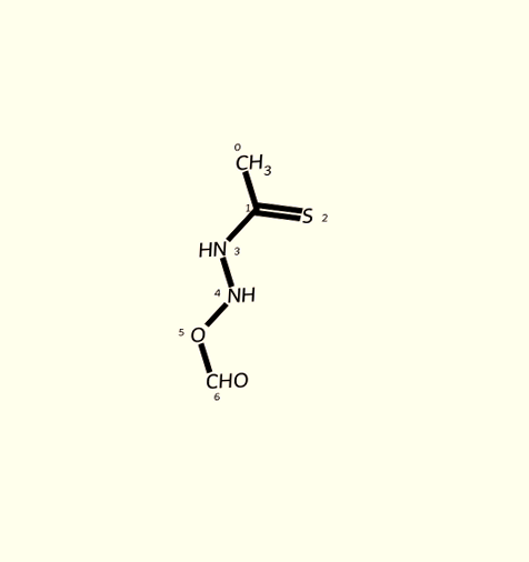 CC(=S)NNOC=O